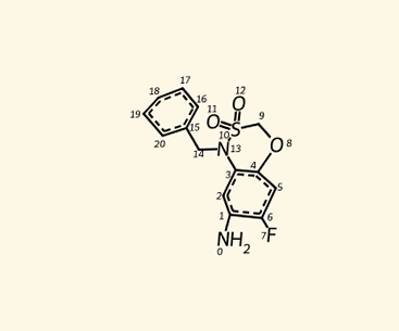 Nc1cc2c(cc1F)OCS(=O)(=O)N2Cc1ccccc1